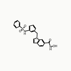 O=C(NO)c1ccc2ccn(Cc3cccc(NS(=O)(=O)c4ccccc4)c3)c2c1